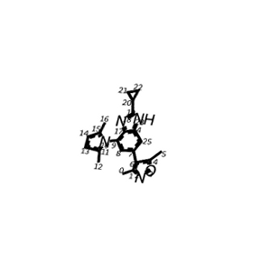 Cc1noc(C)c1-c1cc(-n2c(C)ccc2C)c2nc(C3CC3)[nH]c2c1